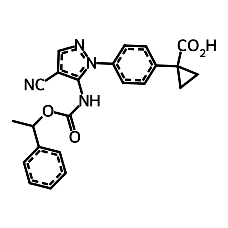 CC(OC(=O)Nc1c(C#N)cnn1-c1ccc(C2(C(=O)O)CC2)cc1)c1ccccc1